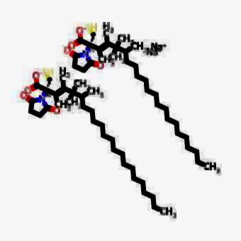 CCCCCCCCCCCCCCCCC(C)C(C)(C)C(C)=C(C)[C@](CS)(C(=O)[O-])N1C(=O)CCC1=O.CCCCCCCCCCCCCCCCC(C)C(C)(C)C(C)=C(C)[C@](CS)(C(=O)[O-])N1C(=O)CCC1=O.[Na+].[Na+]